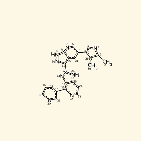 Cc1ncc(-c2cnc3[nH]nc(-c4nc5c(-c6cccnc6)nccc5[nH]4)c3c2)n1C